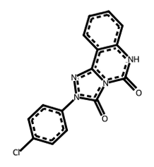 O=c1[nH]c2ccccc2c2nn(-c3ccc(Cl)cc3)c(=O)n12